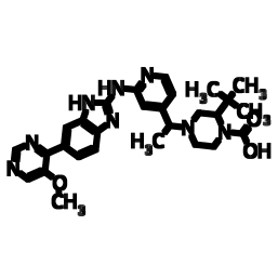 COc1cncnc1-c1ccc2nc(Nc3cc(C(C)N4CCN(C(=O)O)C(C(C)(C)C)C4)ccn3)[nH]c2c1